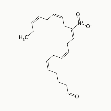 CC/C=C\C/C=C\C/C(=C\C/C=C\C/C=C\CCC[C]=O)[N+](=O)[O-]